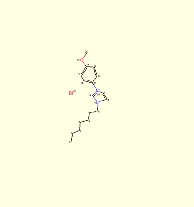 CCCCCCCn1cc[n+](-c2ccc(OC)cc2)c1.[Br-]